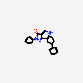 O=c1c2c[nH]c3c(c-2nn1-c1ccccc1)CC(c1ccccc1)CC3